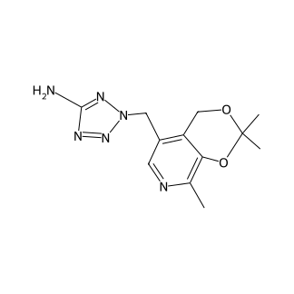 Cc1ncc(Cn2nnc(N)n2)c2c1OC(C)(C)OC2